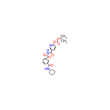 CC(C)OC(=O)Oc1ccc(C(=O)NS(=O)(=O)c2cccc(C(=O)NC3CCCCC3)c2)cn1